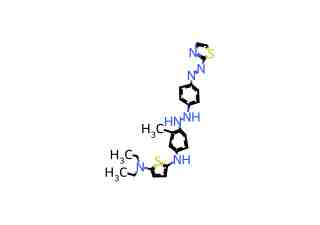 CCN(CC)c1ccc(Nc2ccc(NNc3ccc(/N=N/c4nccs4)cc3)c(C)c2)s1